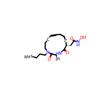 CSCCCN1CCCC=CCCC[C@H](CC(=O)NO)C(=O)N[C@@H](C(C)C)C1=O